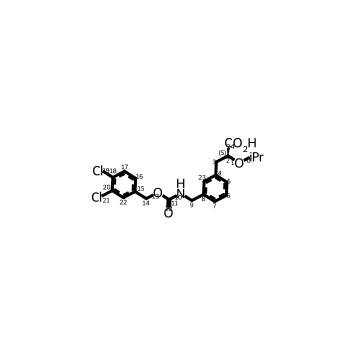 CC(C)O[C@@H](Cc1cccc(CNC(=O)OCc2ccc(Cl)c(Cl)c2)c1)C(=O)O